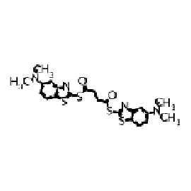 CN(C)c1ccc2sc(SC(=O)CCC(=O)Sc3nc4cc(N(C)C)ccc4s3)nc2c1